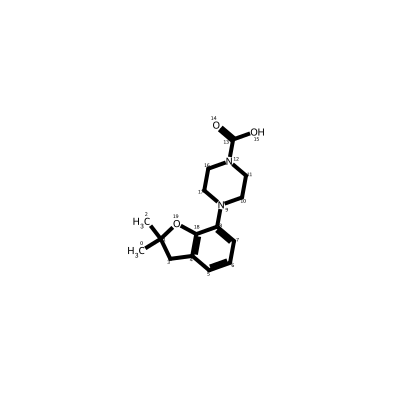 CC1(C)Cc2cccc(N3CCN(C(=O)O)CC3)c2O1